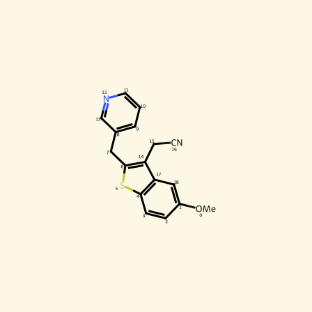 COc1ccc2sc(Cc3cccnc3)c(CC#N)c2c1